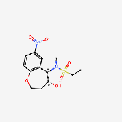 CCS(=O)(=O)N(C)[C@@H]1c2cc([N+](=O)[O-])ccc2OCC[C@H]1O